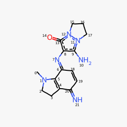 CN1CCC2=C1C(=Nc1c(N)n3n(c1=O)CCC3)C=CC2=N